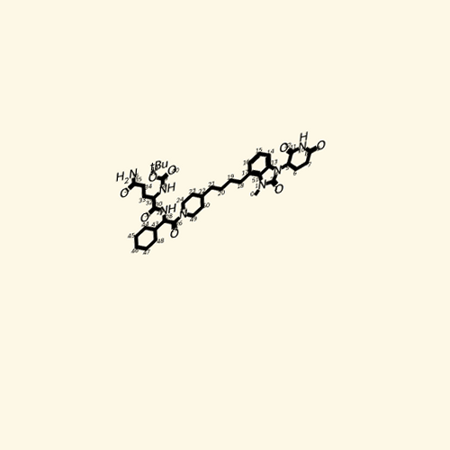 Cn1c(=O)n(C2CCC(=O)NC2=O)c2cccc(CCCCC3CCN(C(=O)C(NC(=O)C(CCC(N)=O)NC(=O)OC(C)(C)C)C4CCCCC4)CC3)c21